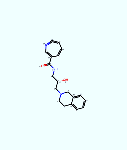 O=C(NC[C@H](O)CN1CCc2ccccc2C1)C1=CN=C=CC=C1